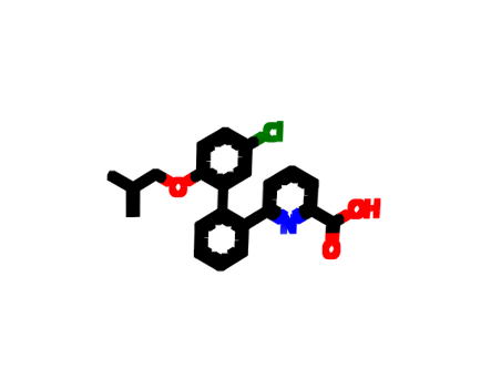 C=C(C)COc1ccc(Cl)cc1-c1ccccc1-c1cccc(C(=O)O)n1